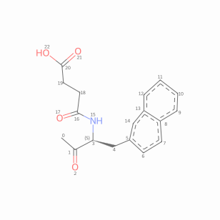 CC(=O)[C@H](Cc1ccc2ccccc2c1)NC(=O)CCC(=O)O